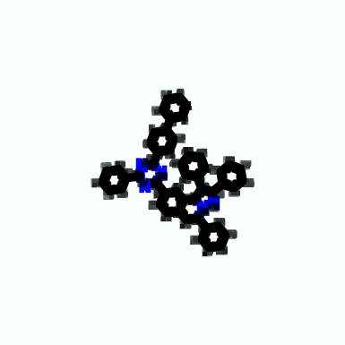 c1ccc(-c2ccc(-c3nc(-c4ccccc4)nc(-c4ccc5cc(-c6ccccc6)n6nc(-c7ccccc7)c(-c7ccccc7)c6c5c4)n3)cc2)cc1